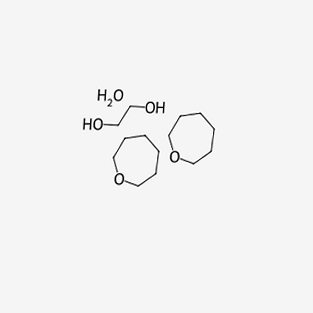 C1CCCOCC1.C1CCCOCC1.O.OCCO